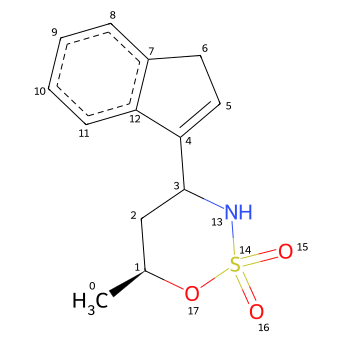 C[C@H]1CC(C2=CCc3ccccc32)NS(=O)(=O)O1